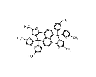 Cc1ccc(C2(c3ccc(C)s3)c3cc(C)sc3-c3ccc4c5c(ccc2c35)-c2sc(C)cc2C4(c2ccc(C)s2)c2ccc(C)s2)s1